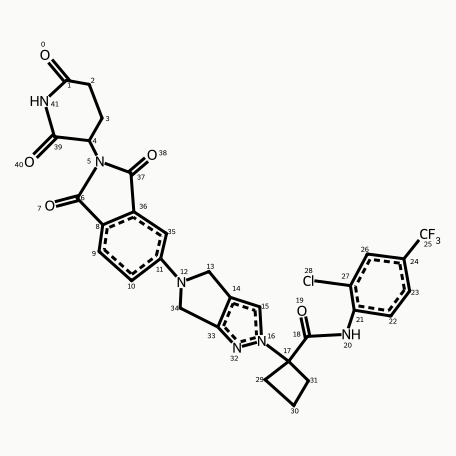 O=C1CCC(N2C(=O)c3ccc(N4Cc5cn(C6(C(=O)Nc7ccc(C(F)(F)F)cc7Cl)CCC6)nc5C4)cc3C2=O)C(=O)N1